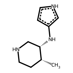 C[C@@H]1CCNC[C@@H]1Nc1cc[nH]c1